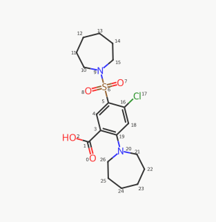 O=C(O)c1cc(S(=O)(=O)N2CCCCCC2)c(Cl)cc1N1CCCCCC1